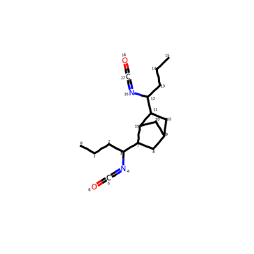 CCCC(N=C=O)C1CC2CC(C(CCC)N=C=O)C1C2